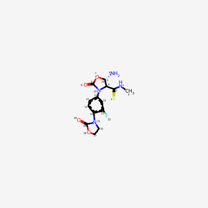 CNC(=S)C1[C@@H](N)OC(=O)N1c1ccc(N2CCOC2=O)c(F)c1